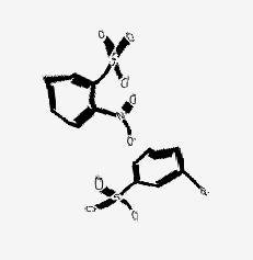 O=S(=O)(Cl)c1cccc(Br)c1.O=[N+]([O-])c1ccccc1S(=O)(=O)Cl